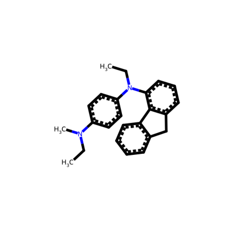 CCN(C)c1ccc(N(CC)c2cccc3c2-c2ccccc2C3)cc1